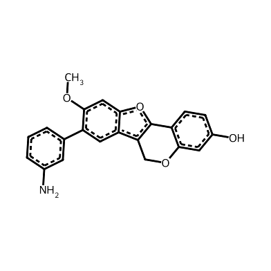 COc1cc2oc3c(c2cc1-c1cccc(N)c1)COc1cc(O)ccc1-3